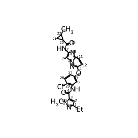 CCc1cc(C(=O)Nc2cc(Oc3ccc4nc(NC(=O)C5CC5C)cn4n3)ccc2Cl)n(C)n1